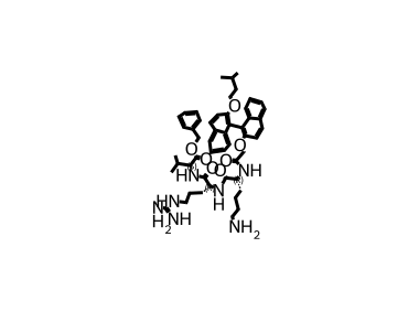 CC(C)CCOc1ccc2ccccc2c1-c1c(OCC(=O)N[C@H](CCCCN)C(=O)N[C@H](CCCNC(=N)N)C(=O)N[C@H](C(=O)OCc2ccccc2)C(C)C)ccc2ccccc12